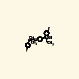 CCc1[nH]c2cc(F)ccc2c1C1CCN(CCC(C)(C)Sc2ccc(F)cc2)CC1